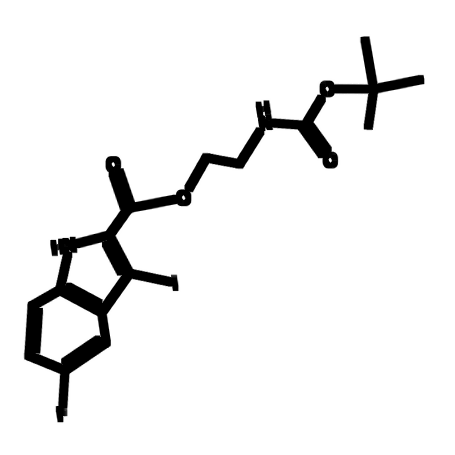 CC(C)(C)OC(=O)NCCOC(=O)c1[nH]c2ccc(F)cc2c1I